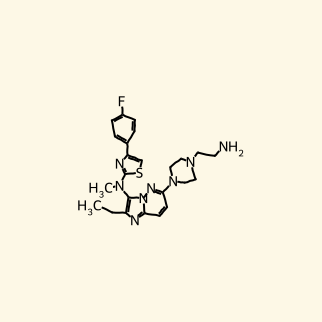 CCc1nc2ccc(N3CCN(CCN)CC3)nn2c1N(C)c1nc(-c2ccc(F)cc2)cs1